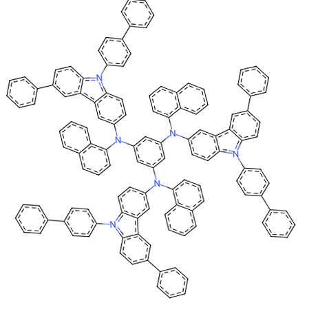 c1ccc(-c2ccc(-n3c4ccc(-c5ccccc5)cc4c4cc(N(c5cc(N(c6ccc7c(c6)c6cc(-c8ccccc8)ccc6n7-c6ccc(-c7ccccc7)cc6)c6cccc7ccccc67)cc(N(c6ccc7c(c6)c6cc(-c8ccccc8)ccc6n7-c6ccc(-c7ccccc7)cc6)c6cccc7ccccc67)c5)c5cccc6ccccc56)ccc43)cc2)cc1